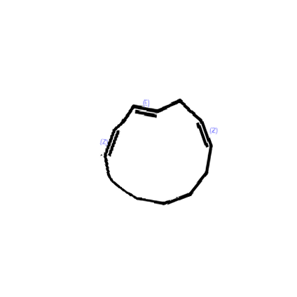 [C]1=C\C=C\C/C=C\CCCCC/1